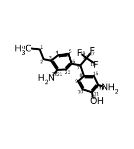 CCCc1ccc(C(c2ccc(O)c(N)c2)C(F)(F)F)cc1N